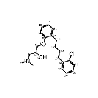 CN(C)CC(O)COc1ccccc1CCCCc1ccccc1Cl